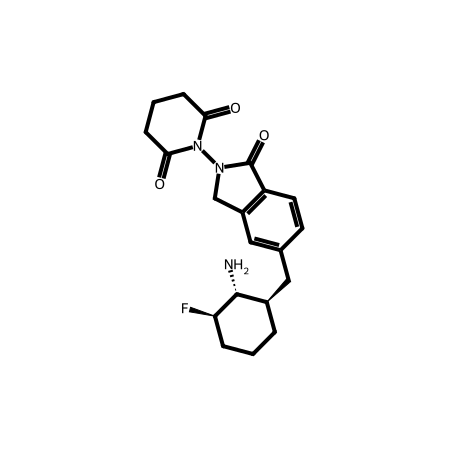 N[C@@H]1[C@@H](Cc2ccc3c(c2)CN(N2C(=O)CCCC2=O)C3=O)CCC[C@H]1F